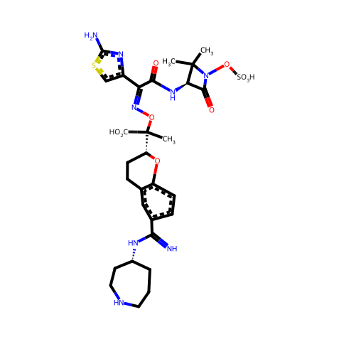 CC(O/N=C(\C(=O)N[C@@H]1C(=O)N(OS(=O)(=O)O)C1(C)C)c1csc(N)n1)(C(=O)O)[C@H]1CCc2cc(C(=N)N[C@@H]3CCCNCC3)ccc2O1